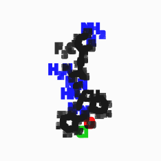 CC(Nc1ncc(C#Cc2cnc(N)cc2C(F)(F)F)c(N)n1)c1nc2cccc(Cl)c2c(=O)n1-c1ccccc1